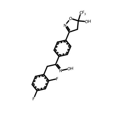 ON=C(Cc1ccc(F)cc1F)c1ccc(C2=NOC(O)(C(F)(F)F)C2)cc1